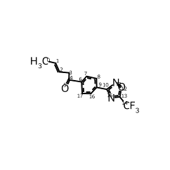 C/C=C/CC(=O)c1ccc(-c2noc(C(F)(F)F)n2)cc1